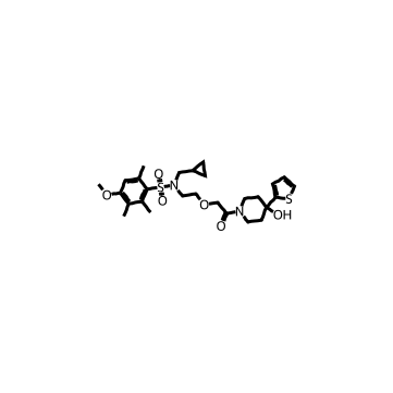 COc1cc(C)c(S(=O)(=O)N(CCOCC(=O)N2CCC(O)(c3cccs3)CC2)CC2CC2)c(C)c1C